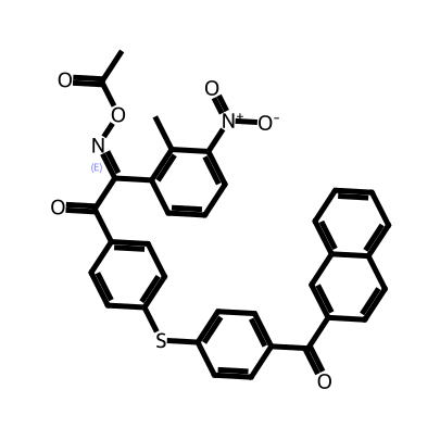 CC(=O)O/N=C(/C(=O)c1ccc(Sc2ccc(C(=O)c3ccc4ccccc4c3)cc2)cc1)c1cccc([N+](=O)[O-])c1C